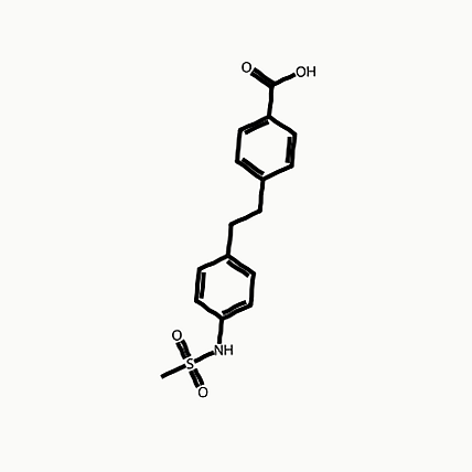 CS(=O)(=O)Nc1ccc(CCc2ccc(C(=O)O)cc2)cc1